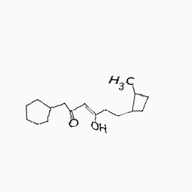 CC1CCC1CC/C(O)=C/C(=O)CC1CCCCC1